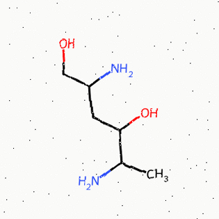 CC(N)C(O)CC(N)CO